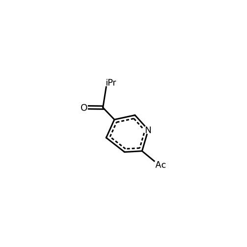 CC(=O)c1ccc(C(=O)C(C)C)cn1